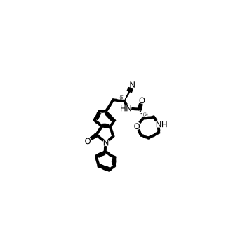 N#C[C@H](Cc1ccc2c(c1)CN(c1ccccc1)C2=O)NC(=O)[C@@H]1CNCCCO1